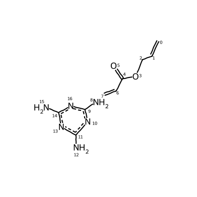 C=CCOC(=O)C=C.Nc1nc(N)nc(N)n1